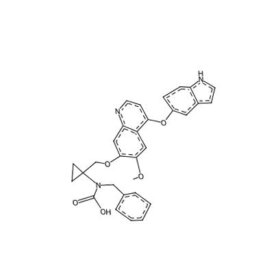 COc1cc2c(Oc3ccc4[nH]ccc4c3)ccnc2cc1OCC1(N(Cc2ccccc2)C(=O)O)CC1